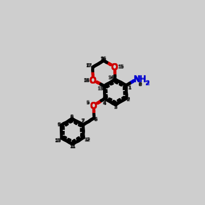 Nc1ccc(OCc2ccccc2)c2c1OCCO2